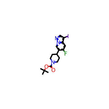 CC(C)(C)OC(=O)N1CCC(c2cn3ncc(I)c3cc2F)CC1